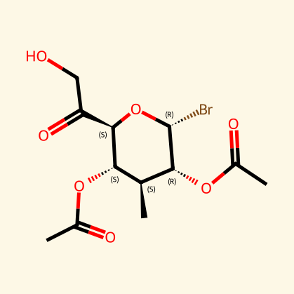 CC(=O)O[C@@H]1[C@@H](C)[C@H](OC(C)=O)[C@@H](C(=O)CO)O[C@@H]1Br